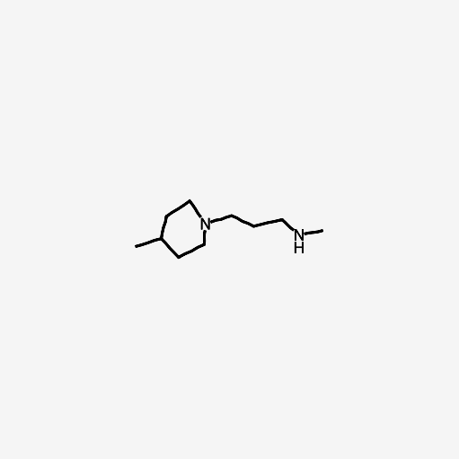 CNCCCN1CCC(C)CC1